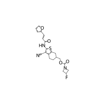 N#Cc1c(NC(=O)C=Cc2ccco2)sc2c1CCC(COC(=O)N1CC(F)C1)C2